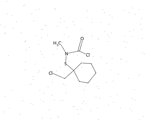 CN(SC1(CCl)CCCCC1)C(=O)Cl